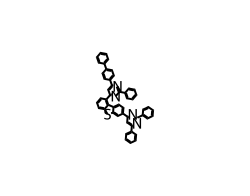 c1ccc(-c2ccc(-c3cc(-c4cccc5sc6cc(-c7cc(-c8ccccc8)nc(-c8ccccc8)n7)ccc6c45)nc(-c4ccccc4)n3)cc2)cc1